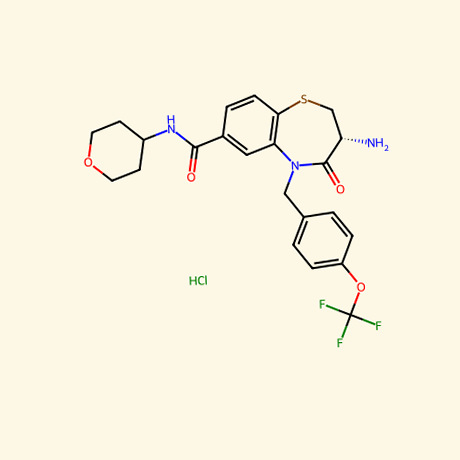 Cl.N[C@H]1CSc2ccc(C(=O)NC3CCOCC3)cc2N(Cc2ccc(OC(F)(F)F)cc2)C1=O